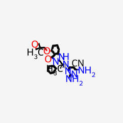 C[C@H](Nc1nc(N)nc(N)c1C#N)c1nc2cccc(OCC3(C)COC3)c2c(=O)n1-c1ccccc1